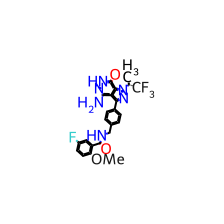 COc1ccc(F)cc1C(=O)NCc1ccc(-c2nn([C@H](C)C(F)(F)F)c3c(=O)[nH]nc(N)c23)cc1